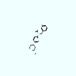 CC(C)(C)OC(=O)N(Cc1cccc(OC(F)(F)F)c1)c1ccc([C@H]2CCO[C@@H](CBr)C2)cn1